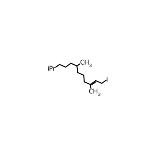 CC(=CCI)CCCC(C)CCCC(C)C